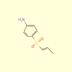 CC=CS(=O)(=O)c1ccc(N)cc1